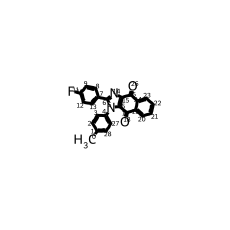 Cc1ccc(-n2c(-c3ccc(F)cc3)nc3c2C(=O)c2ccccc2C3=O)cc1